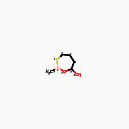 CB1OC(O)CCCS1